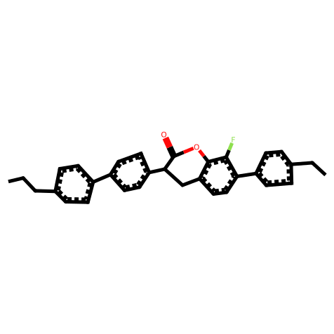 CCCc1ccc(-c2ccc(C3Cc4ccc(-c5ccc(CC)cc5)c(F)c4OC3=O)cc2)cc1